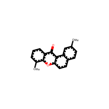 COc1ccc2ccc3oc4c(OC)cccc4c(=O)c3c2c1